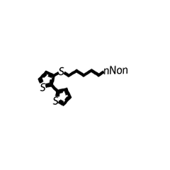 CCCCCCCCCCCCCCSc1ccsc1-c1cccs1